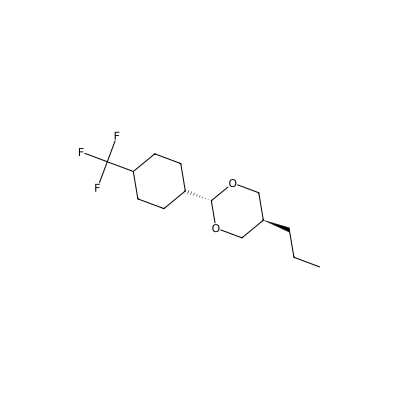 CCC[C@H]1CO[C@H](C2CCC(C(F)(F)F)CC2)OC1